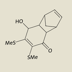 CSC1=C(SC)C(O)C2C3C=CC(C3)C2C1=O